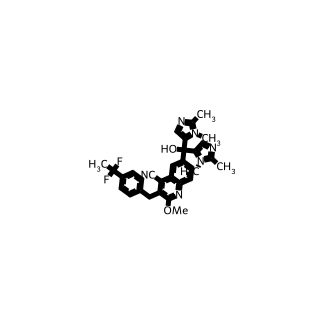 COc1nc2ccc(C(O)(c3cnc(C)n3C)c3cnc(C)n3C)cc2c(C#N)c1Cc1ccc(C(C)(F)F)cc1